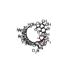 CO[C@H]1/C=C/O[C@@]2(C)Oc3c(C)c(O)c4c(c3C2=O)C(=O)C(N2CCC(O)(Cn3cc([N+](=O)[O-])nc3Br)CC2)=C(NC(=O)/C(C)=C\C=C\[C@H](C)[C@H](O)[C@@H](C)[C@@H](O)[C@@H](C)[C@H](OC(C)=O)[C@@H]1C)C4=O